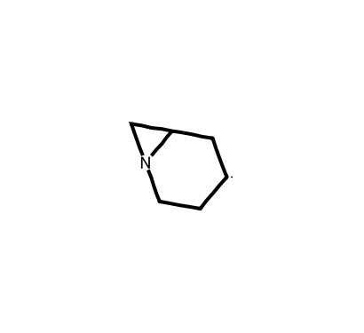 [CH]1CCN2CC2C1